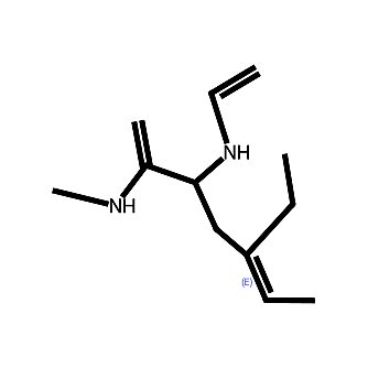 C=CNC(C/C(=C/C)CC)C(=C)NC